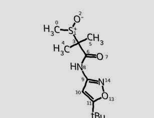 C[S+]([O-])C(C)(C)C(=O)Nc1cc(C(C)(C)C)on1